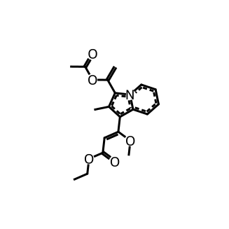 C=C(OC(C)=O)c1c(C)c(C(=CC(=O)OCC)OC)c2ccccn12